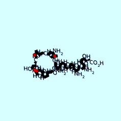 C=C1C[C@@H]2CC[C@]34C[C@@H](O)C(O3)[C@@H]3O[C@H]5CC[C@H](CC(=O)O[C@@H]6[C@@H](N)[C@@H]7O[C@@H]8C[C@]9(C[C@@H]%10O[C@]%11(C[C@H](N)[C@@H]%12O[C@H](CC(=O)O)[C@H](O)C[C@@H]%12O%11)C[C@H](N)[C@@H]%10O9)O[C@@H]8C[C@@H]7O[C@H]6C[C@H]6O[C@@H](CC[C@@H]1O2)C[C@@H](N)C6=C)O[C@@H]5[C@H](O4)[C@@H]3C